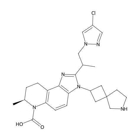 CC(Cn1cc(Cl)cn1)c1nc2c3c(ccc2n1C1CC2(CCNC2)C1)N(C(=O)O)[C@@H](C)CC3